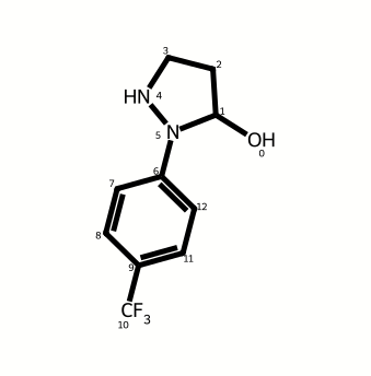 OC1CCNN1c1ccc(C(F)(F)F)cc1